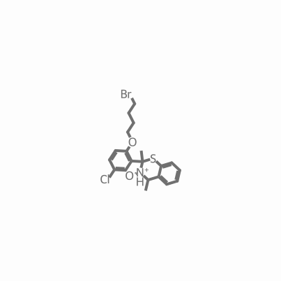 CC1c2ccccc2SC(C)(c2cc(Cl)ccc2OCCCCBr)[NH+]1[O-]